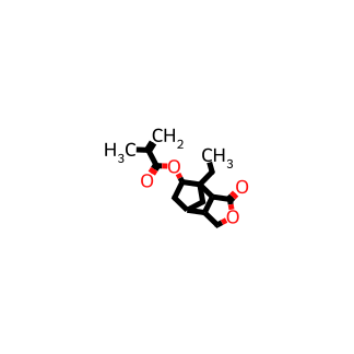 C=C(C)C(=O)OC1CC2CC1(CC)C1C(=O)OCC21